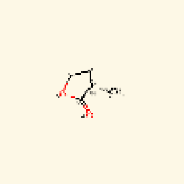 C[C@H]1CCOC1=O